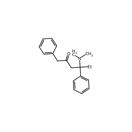 CCC(CC(=O)Cc1ccccc1)(c1ccccc1)N(C)C